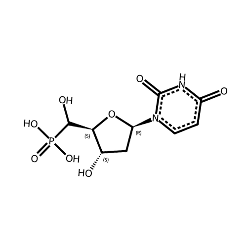 O=c1ccn([C@H]2C[C@H](O)[C@@H](C(O)P(=O)(O)O)O2)c(=O)[nH]1